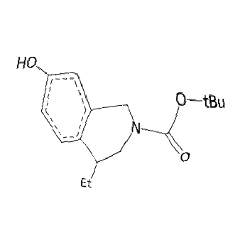 CCC1CN(C(=O)OC(C)(C)C)Cc2cc(O)ccc21